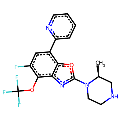 C[C@H]1CNCCN1c1nc2c(OC(F)(F)F)c(F)cc(-c3ccccn3)c2o1